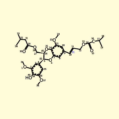 COc1cc([C@@H]2Oc3cc(/C=C/COC(=O)CC(C)C)cc(OC)c3O[C@@H]2COC(=O)CC(C)C)cc(OC)c1O